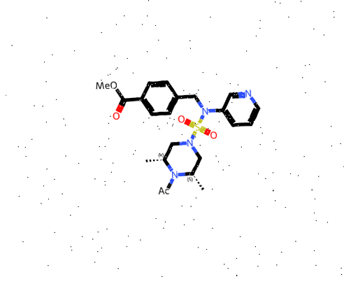 COC(=O)c1ccc(CN(c2cccnc2)S(=O)(=O)N2C[C@@H](C)N(C(C)=O)[C@@H](C)C2)cc1